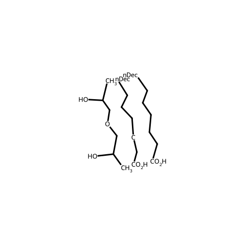 CC(O)COCC(C)O.CCCCCCCCCCCCCCCC(=O)O.CCCCCCCCCCCCCCCC(=O)O